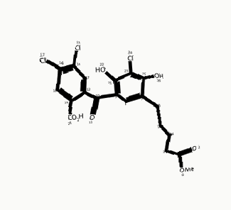 COC(=O)CCCCc1cc(C(=O)c2cc(Cl)c(Cl)cc2C(=O)O)c(O)c(Cl)c1O